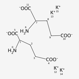 NC(CCC(=O)[O-])C(=O)[O-].NC(CCC(=O)[O-])C(=O)[O-].[K+].[K+].[K+].[K+]